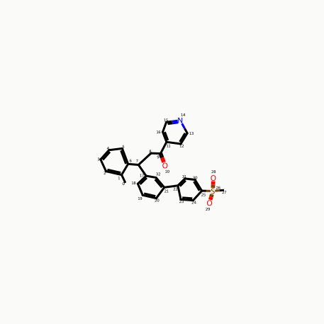 Cc1ccccc1C(CC(=O)c1ccncc1)c1cccc(-c2ccc(S(C)(=O)=O)cc2)c1